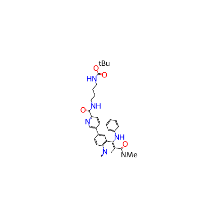 C=Nc1ccc(-c2ccc(C(=O)NCCCCNC(=O)OC(C)(C)C)nc2)cc1/C(Nc1ccccc1)=C(\C)C(=O)NC